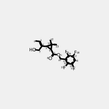 CC=C(CO)C1C(C(=O)OCc2c(F)c(F)cc(F)c2F)C1(C)C